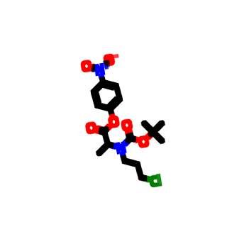 CC(C(=O)Oc1ccc([N+](=O)[O-])cc1)N(CCCCl)C(=O)OC(C)(C)C